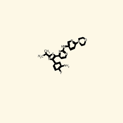 CC(C)c1nc(-c2ccc(F)c(N)c2)c(-c2ccnc(Nc3ccc(N4CCOCC4)nc3)n2)s1